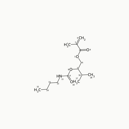 C=C(C)C(=O)OCC(OC(=O)NCCCC)C(C)C